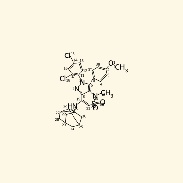 COc1ccc(-c2c3c(nn2-c2ccc(Cl)cc2Cl)C(NC24CC5CC(CC(C5)C2)C4)=CS(=O)(=O)N3C)cc1